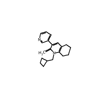 C=C1C(c2cccnc2)=CC2=C(CCCC2)N1CC1CCC1